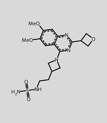 COc1cc2nc(C3COC3)nc(N3CC(CCNS(N)(=O)=O)C3)c2cc1OC